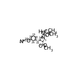 COC(=O)[C@H]1CN(C(=O)OC(C)(C)C)CC1Cc1cccc(OCC#N)c1